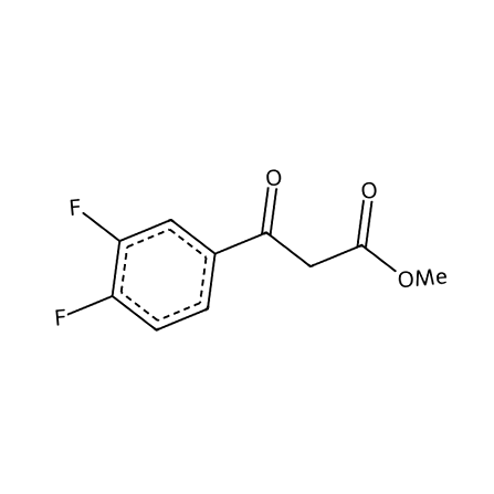 COC(=O)CC(=O)c1ccc(F)c(F)c1